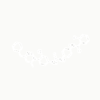 CC(CC(=N)Cc1ccccc1)N(C)c1ccc(NC(=S)Nc2ccc(NC(=O)c3ccccc3F)cc2)cc1Cl